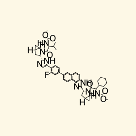 COC(=O)NC(C(=O)N1[C@@H]2C[C@@H]2C[C@H]1c1nc2c(ccc3cc(-c4ccc(-c5cnc([C@@H]6C[C@H]7C[C@H]7N6C(=O)[C@@H](NC(=O)OC)C(C)C)[nH]5)c(F)c4)ccc32)[nH]1)C1CCCCC1